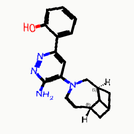 Nc1nnc(-c2ccccc2O)cc1N1CC[C@H]2CC3C[C@H](C1)C32